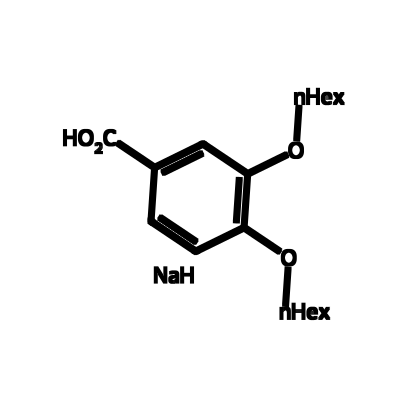 CCCCCCOc1ccc(C(=O)O)cc1OCCCCCC.[NaH]